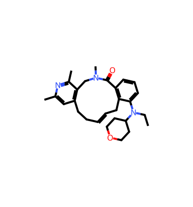 CCN(c1cccc2c1C/C=C/CCc1cc(C)nc(C)c1CN(C)C2=O)C1CCOCC1